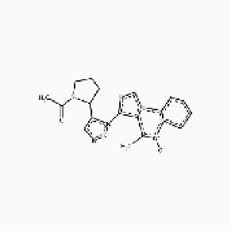 CC(=O)N1CCCC1c1cnnn1-c1ncn2c1c(C)[n+]([O-])c1ccccc12